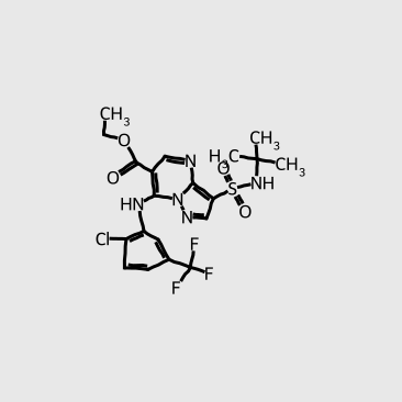 CCOC(=O)c1cnc2c(S(=O)(=O)NC(C)(C)C)cnn2c1Nc1cc(C(F)(F)F)ccc1Cl